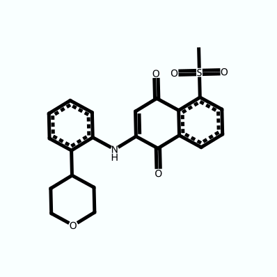 CS(=O)(=O)c1cccc2c1C(=O)C=C(Nc1ccccc1C1CCOCC1)C2=O